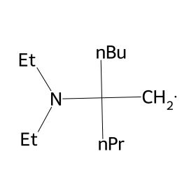 [CH2]C(CCC)(CCCC)N(CC)CC